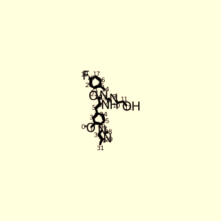 COc1cc(/C=C2\N/C(=N\CCO)N(Cc3ccc(F)cc3)C2=O)ccc1-n1cnc(C)c1